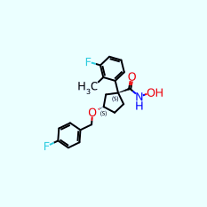 Cc1c(F)cccc1[C@]1(C(=O)NO)CC[C@H](OCc2ccc(F)cc2)C1